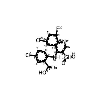 O=C(O)c1cc(Cl)ccc1Nc1c([SH](=O)=O)cnc2c(F)cc(Cl)cc12